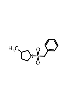 C[C@@H]1CCN(S(=O)(=O)Cc2ccccc2)C1